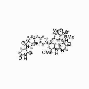 COc1cc(N2CCN(Cc3ccc4c(c3Br)CN(C3CCC(=O)NC3=O)C4=O)CC2)ccc1Nc1ncc(Cl)c(Nc2ccccc2P(=O)(OC)OC)n1